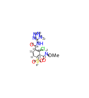 CON(C)C(=O)c1c(S(C)(=O)=O)ccc(C(=O)Nc2nnnn2C)c1Cl